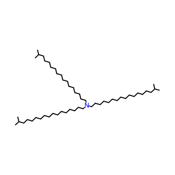 CC(C)CCCCCCCCCCCCCCCN(CCCCCCCCCCCCCCCC(C)C)CCCCCCCCCCCCCCCC(C)C